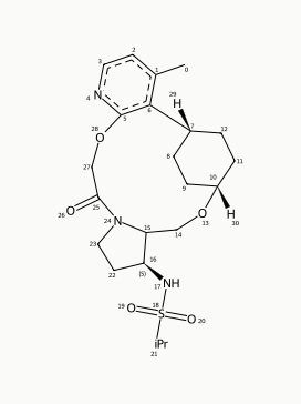 Cc1ccnc2c1[C@H]1CC[C@H](CC1)OCC1[C@@H](NS(=O)(=O)C(C)C)CCN1C(=O)CO2